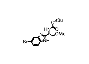 COC[C@H](NC(=O)OC(C)(C)C)c1nc2cc(Br)ccc2[nH]1